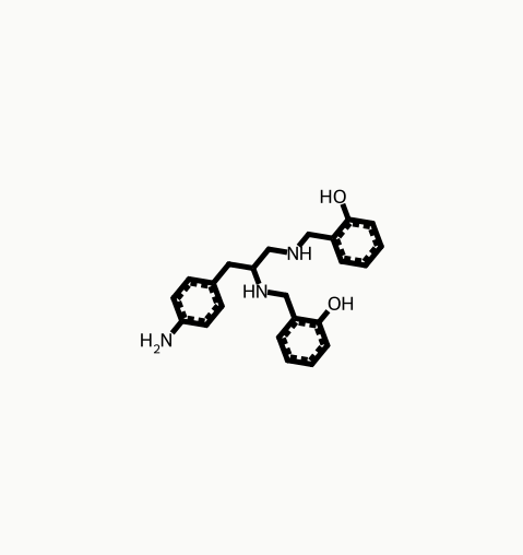 Nc1ccc(CC(CNCc2ccccc2O)NCc2ccccc2O)cc1